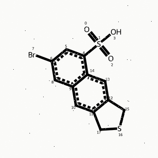 O=S(=O)(O)c1cc(Br)cc2cc3c(cc12)CSC3